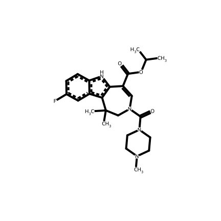 CC(C)OC(=O)C1=CN(C(=O)N2CCN(C)CC2)CC(C)(C)c2c1[nH]c1ccc(F)cc21